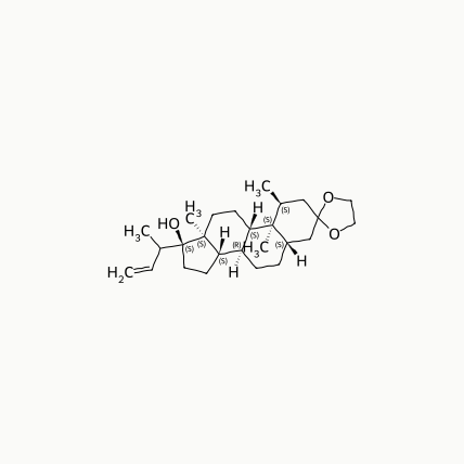 C=CC(C)[C@@]1(O)CC[C@H]2[C@@H]3CC[C@H]4CC5(C[C@H](C)[C@]4(C)[C@H]3CC[C@@]21C)OCCO5